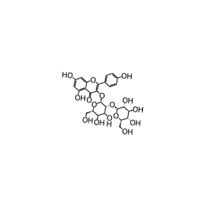 O=c1c(O[C@@H]2O[C@H](CO)[C@H](O)[C@H](O)[C@H]2O[C@@H]2O[C@H](CO)[C@@H](O)[C@H](O)[C@H]2O)c(-c2ccc(O)cc2)oc2cc(O)cc(O)c12